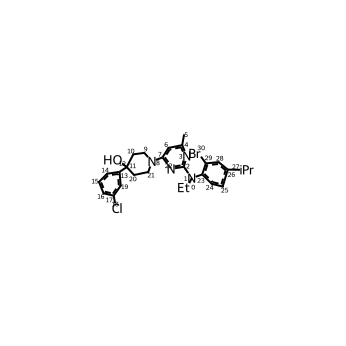 CCN(c1nc(C)cc(N2CCC(O)(c3cccc(Cl)c3)CC2)n1)c1ccc(C(C)C)cc1Br